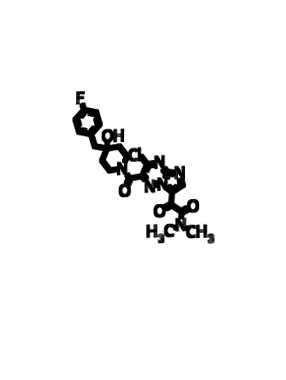 CN(C)C(=O)C(=O)c1cnc2nc(Cl)c(C(=O)N3CCC(O)(Cc4ccc(F)cc4)CC3)nn12